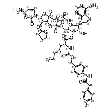 CC(C)CCOC[C@H](NC(=O)OCc1ccc(NC(=O)Cc2ccc(F)cc2)cc1)C(=O)O[C@@H]1[C@@H](COP(=O)(O)O[C@H]2[C@@H](OC3CCCO3)[C@H](n3ccc(N)nc3=O)O[C@]2(C)COP(=O)(O)O)OC(n2cnc3c(N)ncnc32)[C@@H]1O